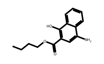 CCCCOC(=O)c1cc(N)c2ccccc2c1O